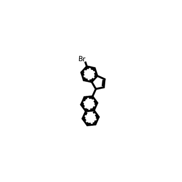 Brc1ccc2c(c1)C=CC2c1ccc2ccccc2c1